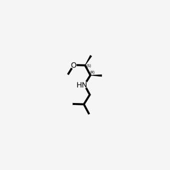 CO[C@@H](C)[C@@H](C)NCC(C)C